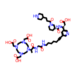 CC(C(=O)NCC(=O)NCCCCCC#Cc1cncc([C@H](CC(=O)O)NC(=O)[C@@H]2CCCN(C(=O)CCC3CCNCC3)C2)c1)N1CCN(CC(=O)O)CCN(CC(=O)O)CCN(CC(=O)O)CC1